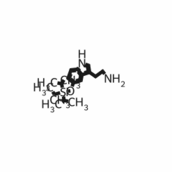 CC(C)[Si](Oc1ccc2[nH]cc(CCN)c2c1)(C(C)C)C(C)C